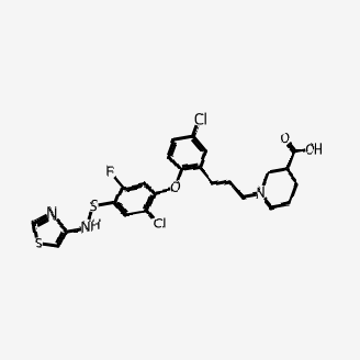 O=C(O)C1CCCN(CCCc2cc(Cl)ccc2Oc2cc(F)c(SNc3cscn3)cc2Cl)C1